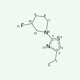 CCc1csc(N2CCCC(F)C2)n1